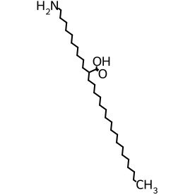 CCCCCCCCCCCCCCCCCCC(CCCCCCCCCCN)C(=O)O